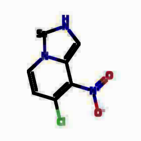 O=[N+]([O-])C1=C(Cl)C=CN2[Se]NC=C12